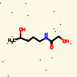 CC(O)CCCNC(=O)CO